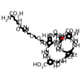 CCc1c2c(CC)c3c(CC)c1CNC(=O)Nc1ccc(C(=O)O)cc1NC(=O)C1(NCc4c(C)c(c(OCCOCCOCCn5cc(C(=O)NCCCC[C@H](N)C(=O)O)nn5)c5c4C(C)(C5)NC(=O)Nc4cc(C(=O)O)ccc41)CNC(=O)Nc1cc(C(=O)O)ccc1NC(=O)NC2)NC(=O)NC3